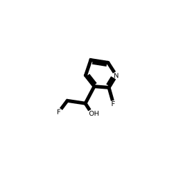 OC(CF)c1cccnc1F